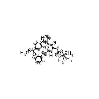 COC(=O)c1ccc(-c2nnnn2CC(=O)C(CC(=O)OC(C)(C)C)NC(=O)OCc2ccccc2)cc1